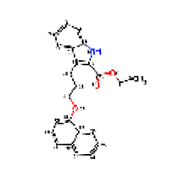 CCOC(=O)c1[nH]c2ccccc2c1CCCOc1cccc2ccccc12